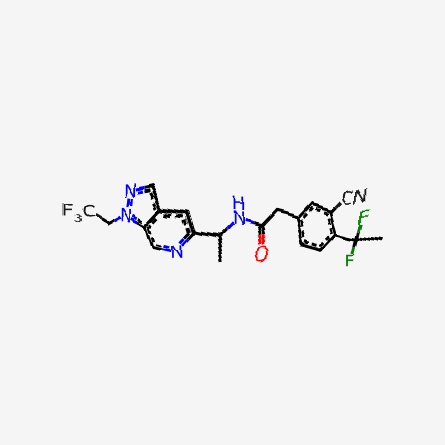 CC(NC(=O)Cc1ccc(C(C)(F)F)c(C#N)c1)c1cc2cnn(CC(F)(F)F)c2cn1